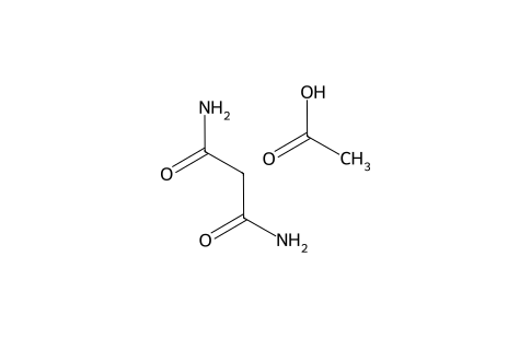 CC(=O)O.NC(=O)CC(N)=O